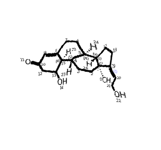 C[C@]12CC[C@H]3[C@@H](CCC4=CC(=O)CC(O)[C@@H]43)[C@@H]1CC/C2=C/CO